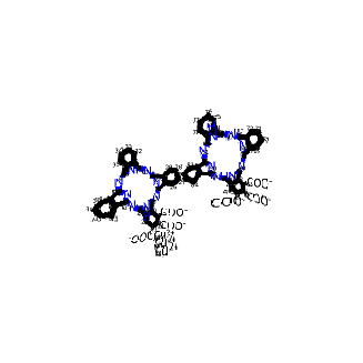 O=C([O-])c1cc2c3nc4nc(nc5[nH]c(nc6nc(nc([nH]3)c2c(C(=O)[O-])c1C(=O)[O-])-c1ccccc1-6)c1ccccc51)-c1ccccc1-4.O=C([O-])c1cc2c3nc4nc(nc5[nH]c(nc6nc(nc([nH]3)c2c(C(=O)[O-])c1C(=O)[O-])-c1ccccc1-6)c1ccccc51)-c1ccccc1-4.[Cu+2].[Cu+2].[Cu+2]